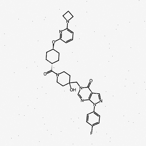 O=c1c2cnn(-c3ccc(F)cc3)c2ncn1CC1(O)CCN(C(=O)[C@H]2CC[C@H](Oc3cccc(N4CCC4)n3)CC2)CC1